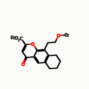 CCOCCc1c2c(cc3c(=O)cc(C(=O)OCC)oc13)CCCC2